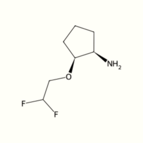 N[C@@H]1CCC[C@@H]1OCC(F)F